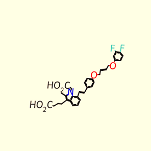 Cc1c(CCCC(=O)O)c2cccc(/C=C/c3ccc(OC/C=C/COc4ccc(F)c(F)c4)cc3)c2n1CC(=O)O